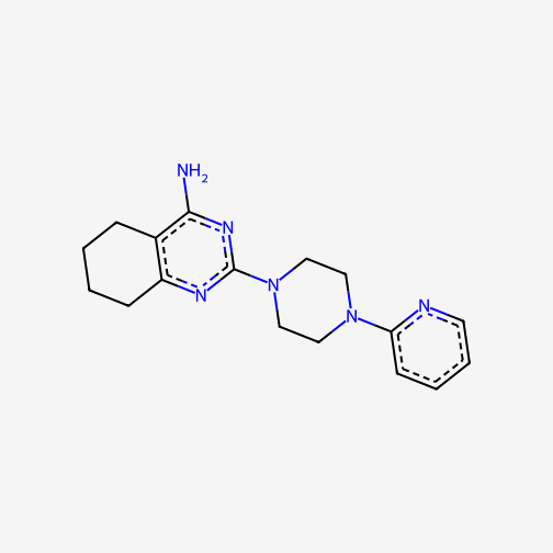 Nc1nc(N2CCN(c3ccccn3)CC2)nc2c1CCCC2